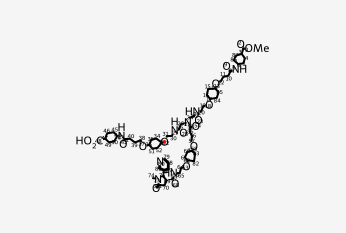 COC(=O)C1CCC(NC(=O)CCCOC2CCC(OCCNC(=O)CN(CC(=O)NCCOC3CCC(OCCCC(=O)NC4CCC(C(=O)O)CC4)CC3)C(=O)CCCOC3CCC(OCCNC(=O)[C@H]4CC(=O)N(C)[C@@H]4c4cccnc4)CC3)CC2)CC1